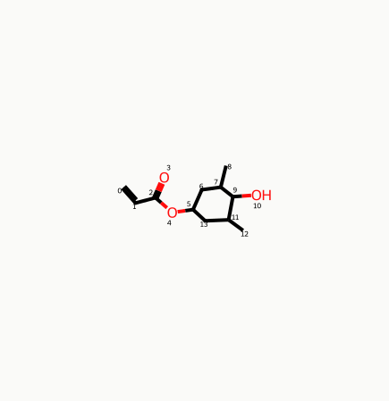 C=CC(=O)OC1CC(C)C(O)C(C)C1